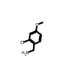 COc1ccc([CH]N)c(Cl)c1